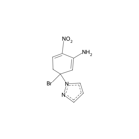 NC1=CC(Br)(n2cccn2)CC=C1[N+](=O)[O-]